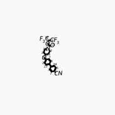 N#Cc1ccc(-c2ccc(OC3CCN(C(=O)OC(C(F)(F)F)C(F)(F)F)CC3)cc2)cc1